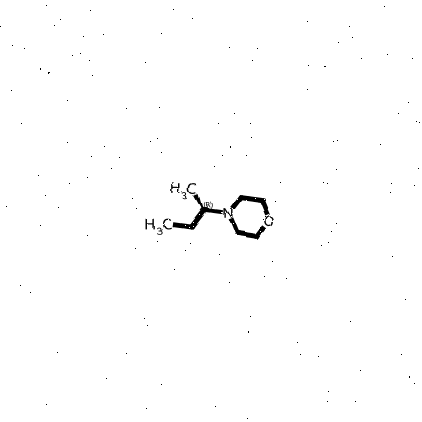 CC[C@@H](C)N1CCOCC1